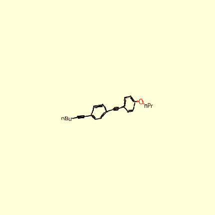 CCCCC#Cc1ccc(C#Cc2ccc(OCCC)cc2)cc1